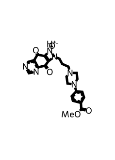 COC(=O)c1ccc(N2CCN(CCCN3C4=C(C(=O)c5cncnc5C4=O)[NH+]3[O-])CC2)cc1